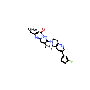 COCc1cc(=O)n2nc(N3CCc4ncc(-c5cccc(F)c5)cc4C3)c(C)cc2n1